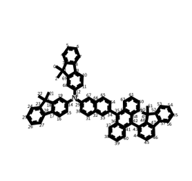 CC1(C)c2ccccc2-c2ccc(N(c3ccc4c(c3)C(C)(C)c3ccccc3-4)c3ccc4cc(-c5c6ccccc6c(-c6cccc7c6C(C)(C)c6ccccc6-7)c6ccccc56)ccc4c3)cc21